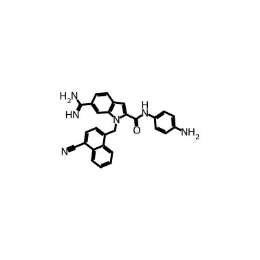 N#Cc1ccc(Cn2c(C(=O)Nc3ccc(N)cc3)cc3ccc(C(=N)N)cc32)c2ccccc12